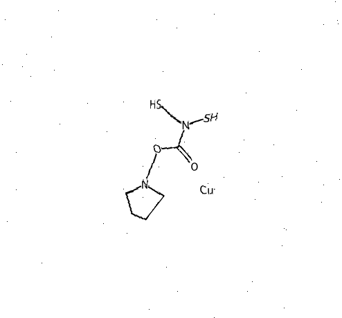 O=C(ON1CCCC1)N(S)S.[Cu]